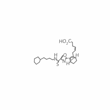 O=C(O)CC/C=C\CC1[C@@H]2CC[C@@H](O2)[C@H]1c1nc(C(=S)NCCCCC2CCCCC2)co1